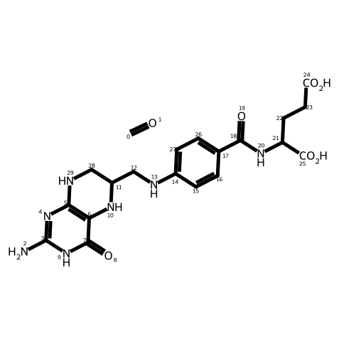 C=O.Nc1nc2c(c(=O)[nH]1)NC(CNc1ccc(C(=O)NC(CCC(=O)O)C(=O)O)cc1)CN2